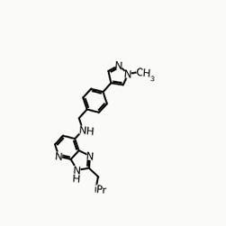 CC(C)Cc1nc2c(NCc3ccc(-c4cnn(C)c4)cc3)ccnc2[nH]1